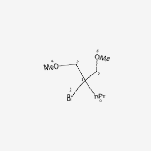 CCCC(Br)(COC)COC